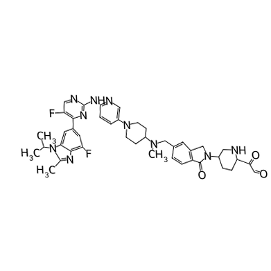 Cc1nc2c(F)cc(-c3nc(Nc4ccc(N5CCC(N(C)Cc6ccc7c(c6)CN(C6CCC(C(=O)C=O)NC6)C7=O)CC5)cn4)ncc3F)cc2n1C(C)C